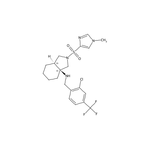 Cn1cnc(S(=O)(=O)N2C[C@@H]3CCCC[C@@]3(NCc3ccc(C(F)(F)F)cc3Cl)C2)c1